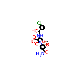 CS(=O)(=O)c1cc(C(N)=O)ccc1-n1ccc(NC[C@H](O)c2cccc(Cl)c2)c(C(=O)O)c1=O